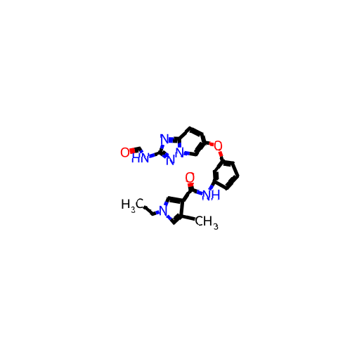 CCn1cc(C)c(C(=O)Nc2cccc(Oc3ccc4nc(NC=O)nn4c3)c2)c1